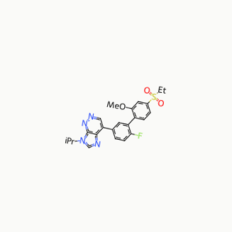 CCS(=O)(=O)c1ccc(-c2cc(-c3cnnc4c3ncn4C(C)C)ccc2F)c(OC)c1